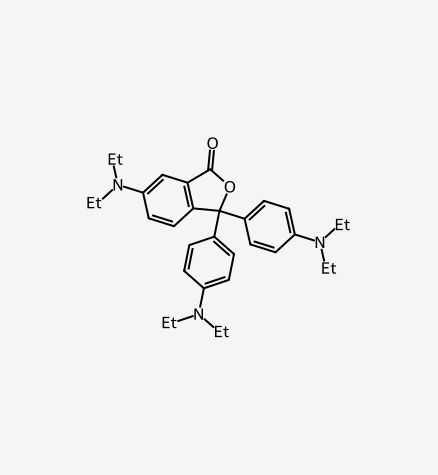 CCN(CC)c1ccc(C2(c3ccc(N(CC)CC)cc3)OC(=O)c3cc(N(CC)CC)ccc32)cc1